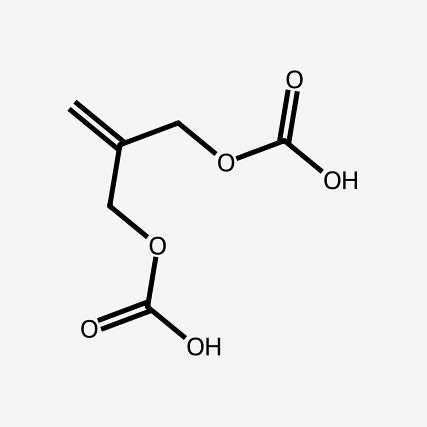 C=C(COC(=O)O)COC(=O)O